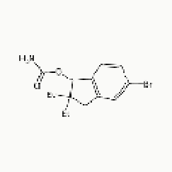 CCC1(CC)Cc2cc(Br)ccc2C1OC(N)=O